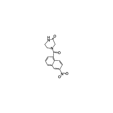 O=C1CN(C(=O)c2cccc3cc([N+](=O)[O-])ccc23)CCN1